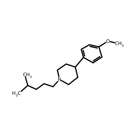 COc1ccc(C2CCN(CCCC(C)C)CC2)cc1